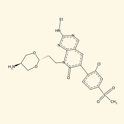 CCNc1ncc2cc(-c3ccc(S(C)(=O)=O)cc3Cl)c(=O)n(CC[C@H]3OC[C@H](N)CO3)c2n1